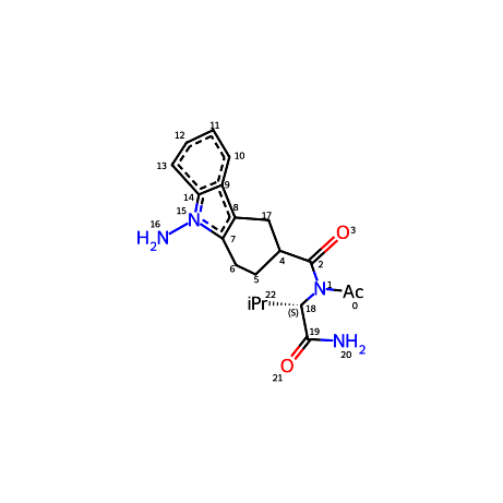 CC(=O)N(C(=O)C1CCc2c(c3ccccc3n2N)C1)[C@H](C(N)=O)C(C)C